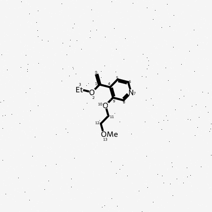 C=C(OCC)c1ccncc1OCCOC